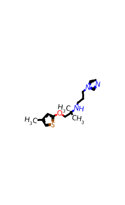 Cc1csc(OCC(C)(C)NCCCn2ccnc2)c1